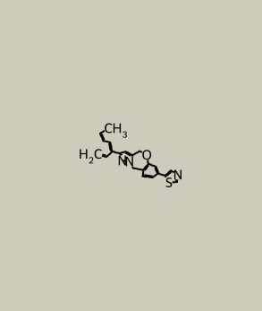 C=C/C(=C\C=C/C)c1cc2n(n1)Cc1ccc(-c3cncs3)cc1OC2